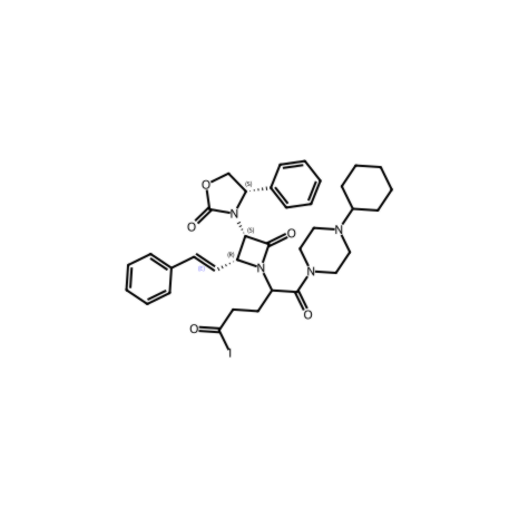 O=C(I)CCC(C(=O)N1CCN(C2CCCCC2)CC1)N1C(=O)[C@@H](N2C(=O)OC[C@@H]2c2ccccc2)[C@H]1/C=C/c1ccccc1